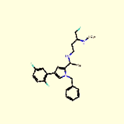 CC(C)(C)C(NCCC(CF)NC(=O)O)c1cc(-c2cc(F)ccc2F)cn1Cc1ccccc1